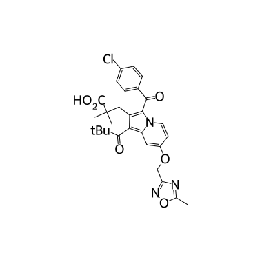 Cc1nc(COc2ccn3c(C(=O)c4ccc(Cl)cc4)c(CC(C)(C)C(=O)O)c(C(=O)C(C)(C)C)c3c2)no1